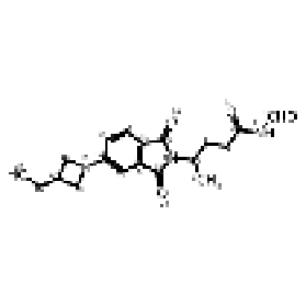 CC(CCC(=O)NC=O)N1C(=O)c2ccc(N3CC(CO)C3)cc2C1=O